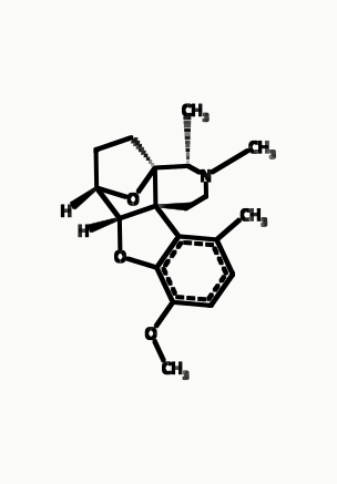 COc1ccc(C)c2c1O[C@@H]1[C@@H]3CC[C@]4(O3)[C@H](C)N(C)CC[C@@]214